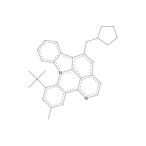 Cc1cc(C(C)(C)C)c2c(c1)c1nccc3cc(CC4CCCC4)c4c5ccccc5n2c4c31